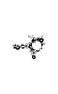 C=C[C@@H]1C[C@@]12NC(=O)[C@@H]1C[C@@H](OC(=O)N3CCN(c4ccc5cncn5n4)CC3)CN1C(=O)[C@@H](NC(=O)OC1CCCC1)CCCCCCCNc1ccc(F)cc1S(=O)(=O)NC2=O